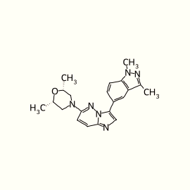 Cc1nn(C)c2ccc(-c3cnc4ccc(N5C[C@@H](C)O[C@@H](C)C5)nn34)cc12